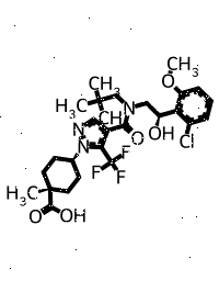 COc1cccc(Cl)c1[C@@H](O)CN(CC(C)(C)C)C(=O)c1cnn([C@H]2CC[C@](C)(C(=O)O)CC2)c1C(F)(F)F